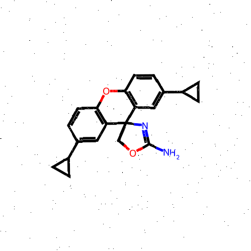 NC1=NC2(CO1)c1cc(C3CC3)ccc1Oc1ccc(C3CC3)cc12